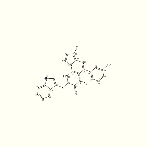 CNC(=O)C(Cc1c[nH]c2ccccc12)Nc1cc(-c2cncc(F)c2)nc2c(C)cnn12